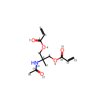 C=CC(=O)OCC(C)(COC(=O)C=C)NC(C)=O